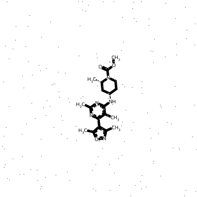 COC(=O)N1CC[C@H](Nc2nc(C)nc(-c3c(C)noc3C)c2C)C[C@@H]1C